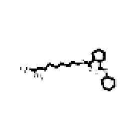 CC(C)CCCCCCCCOC(=O)C1CCCCC1C(=O)OC1CCCCC1